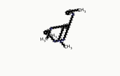 CCCCC/C=C\C/C=C\CCCCCCCCOCC(CCCCCCCC/C=C\C[C@@H](CCCCCC)OC1CCCCO1)OC(=O)OC(CCCCCCCC/C=C\C[C@@H](CCCCCC)OC1CCCCO1)COCCCCCCCC/C=C\C/C=C\CCCCC